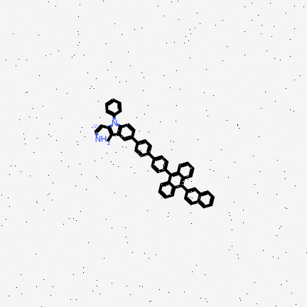 Cc1c(/C=C\N)n(-c2ccccc2)c2ccc(-c3ccc(-c4ccc(-c5c6ccccc6c(-c6ccc7ccccc7c6)c6ccccc56)cc4)cc3)cc12